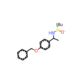 CC(N[S@@+]([O-])C(C)(C)C)c1ccc(OCc2ccccc2)cc1